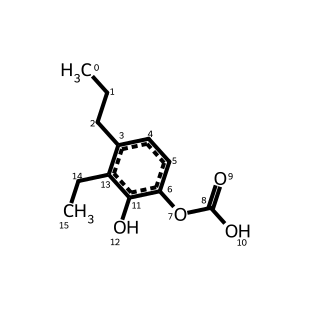 CCCc1ccc(OC(=O)O)c(O)c1CC